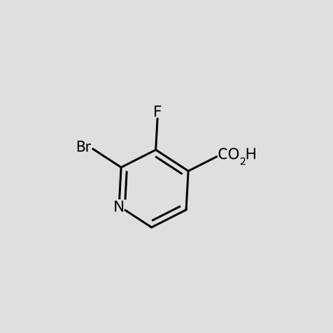 O=C(O)c1ccnc(Br)c1F